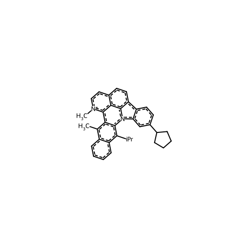 Cc1c2ccccc2c(C(C)C)c2c1c1c3c(ccc4c5ccc(C6CCCC6)cc5n2c43)cc[n+]1C